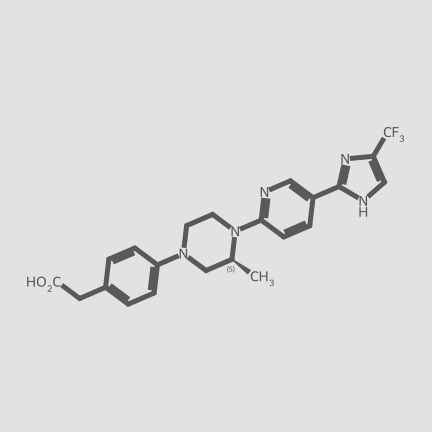 C[C@H]1CN(c2ccc(CC(=O)O)cc2)CCN1c1ccc(-c2nc(C(F)(F)F)c[nH]2)cn1